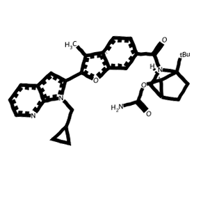 Cc1c(-c2cc3cccnc3n2CC2CC2)oc2cc(C(=O)N3CC4CCC3(C(C)(C)C)[C@@H]4OC(N)=O)ccc12